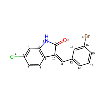 O=C1Nc2cc(Cl)ccc2C1=Cc1cccc(Br)c1